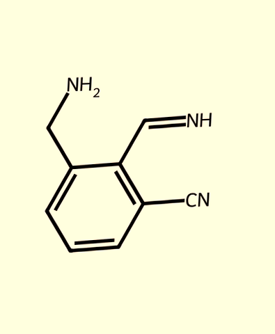 N#Cc1cccc(CN)c1C=N